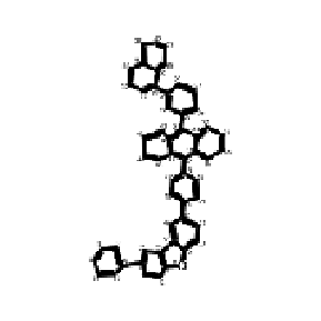 c1ccc(-c2ccc3oc4ccc(-c5ccc(-c6c7ccccc7c(-c7cccc(-c8cccc9ccccc89)c7)c7ccccc67)cc5)cc4c3c2)cc1